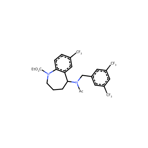 CCOC(=O)N1CCCC(N(Cc2cc(C(F)(F)F)cc(C(F)(F)F)c2)C(C)=O)c2cc(C(F)(F)F)ccc21